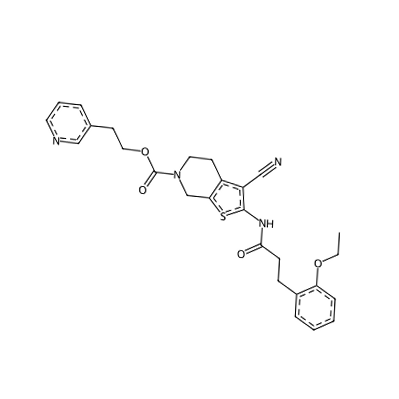 CCOc1ccccc1CCC(=O)Nc1sc2c(c1C#N)CCN(C(=O)OCCc1cccnc1)C2